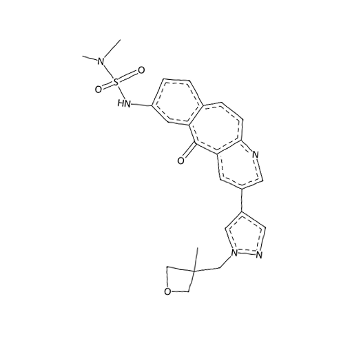 CN(C)S(=O)(=O)Nc1ccc2ccc3ncc(-c4cnn(CC5(C)COC5)c4)cc3c(=O)c2c1